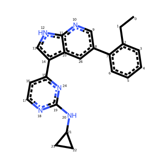 CCc1ccccc1-c1cnc2[nH]cc(-c3ccnc(NC4CC4)n3)c2c1